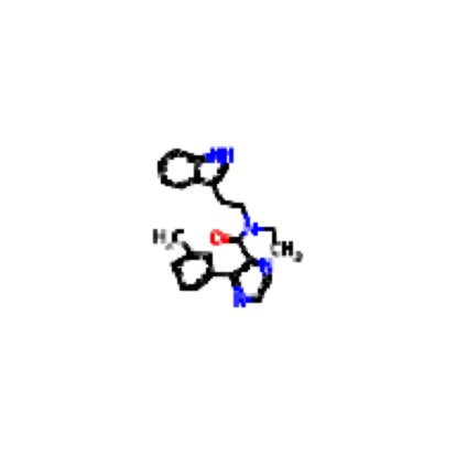 CCN(CCc1c[nH]c2ccccc12)C(=O)c1nccnc1-c1cccc(C)c1